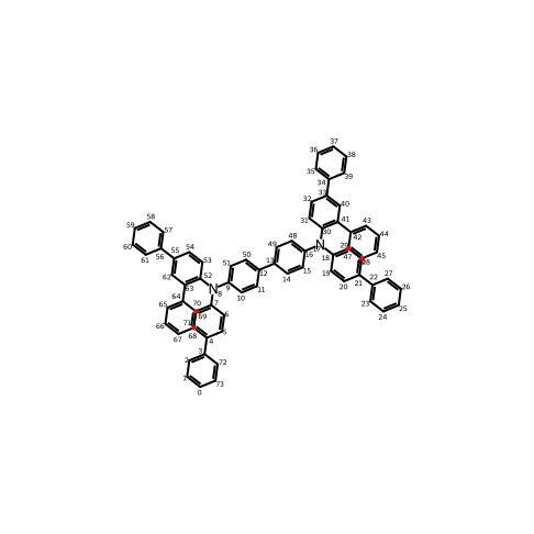 c1ccc(-c2ccc(N(c3ccc(-c4ccc(N(c5ccc(-c6ccccc6)cc5)c5ccc(-c6ccccc6)cc5-c5ccccc5)cc4)cc3)c3ccc(-c4ccccc4)cc3-c3ccccc3)cc2)cc1